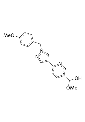 COc1ccc(Cn2cc(-c3ccc(C(O)OC)cn3)cn2)cc1